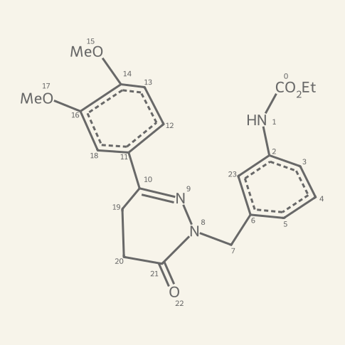 CCOC(=O)Nc1cccc(CN2N=C(c3ccc(OC)c(OC)c3)CCC2=O)c1